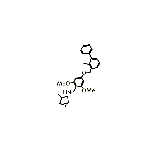 COc1cc(OCc2cccc(-c3ccccc3)c2C)cc(OC)c1CNC1CSCC1C